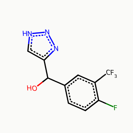 OC(c1ccc(F)c(C(F)(F)F)c1)c1c[nH]nn1